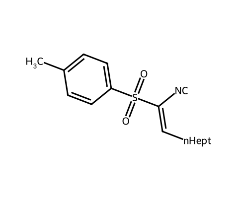 [C-]#[N+]C(=CCCCCCCC)S(=O)(=O)c1ccc(C)cc1